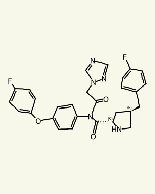 O=C(Cn1cncn1)N(C(=O)[C@@H]1C[C@@H](Cc2ccc(F)cc2)CN1)c1ccc(Oc2ccc(F)cc2)cc1